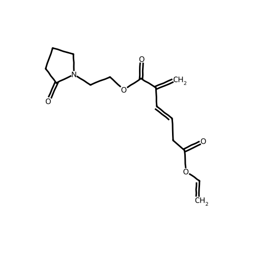 C=COC(=O)CC=CC(=C)C(=O)OCCN1CCCC1=O